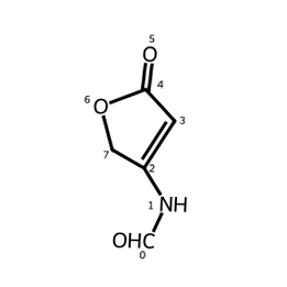 O=CNC1=CC(=O)OC1